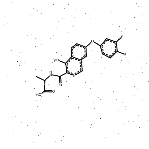 CC(NC(=O)c1ncc2cc(Oc3ccc(F)c(F)c3)ccc2c1O)C(=O)O